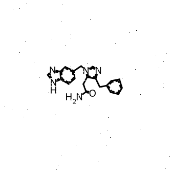 NC(=O)Cc1c(Cc2ccccc2)ncn1Cc1ccc2[nH]cnc2c1